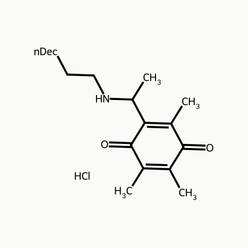 CCCCCCCCCCCCNC(C)C1=C(C)C(=O)C(C)=C(C)C1=O.Cl